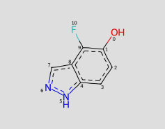 Oc1ccc2[nH]ncc2c1F